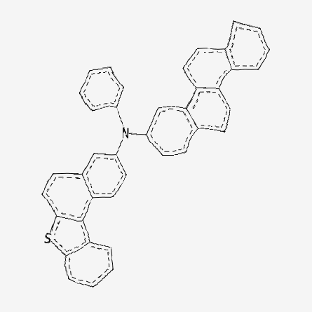 c1ccc(N(c2ccc3c(ccc4sc5ccccc5c43)c2)c2ccc3ccc4c5ccccc5ccc4c3c2)cc1